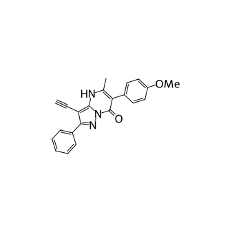 C#Cc1c(-c2ccccc2)nn2c(=O)c(-c3ccc(OC)cc3)c(C)[nH]c12